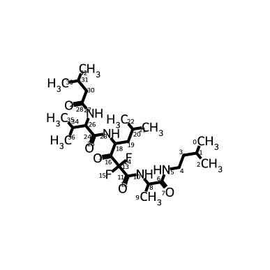 CC(C)CCNC(=O)C(C)NC(=O)C(F)(F)C(=O)C(CC(C)C)NC(=O)C(NC(=O)CC(C)C)C(C)C